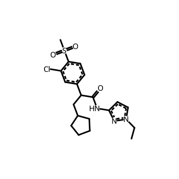 CCn1ccc(NC(=O)C(CC2CCCC2)c2ccc(S(C)(=O)=O)c(Cl)c2)n1